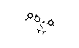 CC(C)N(CCN(C(=O)Nc1cc(F)cc(F)c1)[C@@H]1CC[C@]2(c3cccc(C#N)c3)CC2C1)C(C)C